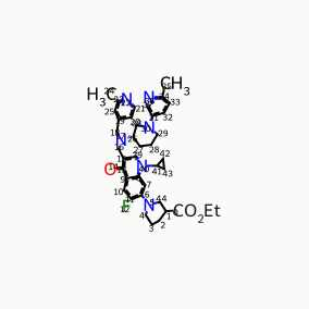 CCOC(=O)C1CCCN(c2cc3c(cc2F)c(=O)c(CN(Cc2ccnc(C)c2)[C@H]2CCCN(c4ccc(C)nc4)C2)cn3C2CC2)C1